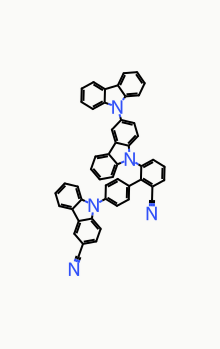 N#Cc1ccc2c(c1)c1ccccc1n2-c1ccc(-c2c(C#N)cccc2-n2c3ccccc3c3cc(-n4c5ccccc5c5ccccc54)ccc32)cc1